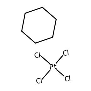 C1CCCCC1.[Cl][Pt]([Cl])([Cl])[Cl]